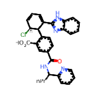 CCCC(NC(=O)c1ccc(C2C(c3nc4ccccc4[nH]3)=CC=C[C@@H]2Cl)c(C(=O)O)c1)c1ccccn1